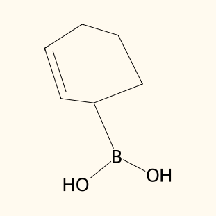 OB(O)C1C=CCCC1